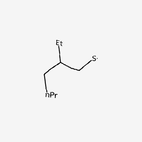 CCCCC(CC)C[S]